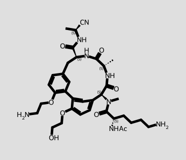 CC(=O)N[C@@H](CCCCN)C(=O)N(C)[C@@H]1C(=O)N[C@@H](C)C(=O)N[C@H](C(=O)N[C@@H](C)C#N)Cc2ccc(OCCN)c(c2)-c2cc1ccc2OCCO